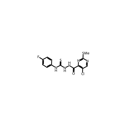 CSc1ncc(Cl)c(C(=O)NNC(=S)Nc2ccc(F)cc2)n1